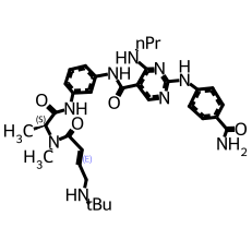 CCCNc1nc(Nc2ccc(C(N)=O)cc2)ncc1C(=O)Nc1cccc(NC(=O)[C@H](C)N(C)C(=O)/C=C/CNC(C)(C)C)c1